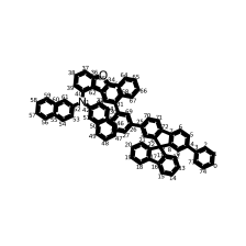 c1ccc(-c2ccc3c(c2)C2(c4ccccc4-c4ccccc42)c2cc(-c4cccc(-c5cc6c(oc7cccc(N(c8ccc9ccccc9c8)c8ccc9ccccc9c8)c76)c6ccccc56)c4)ccc2-3)cc1